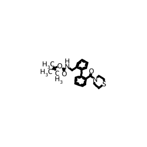 CC(C)(C)OC(=O)NCc1ccccc1-c1ccccc1C(=O)N1CCSCC1